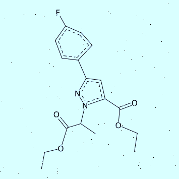 CCOC(=O)c1cc(-c2ccc(F)cc2)nn1C(C)C(=O)OCC